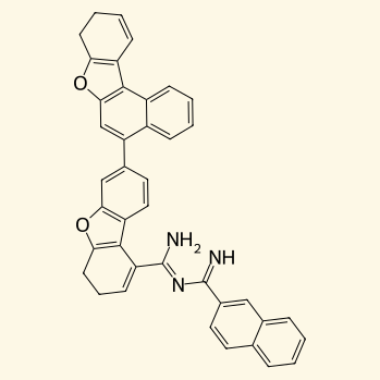 N=C(/N=C(\N)C1=CCCc2oc3cc(-c4cc5oc6c(c5c5ccccc45)C=CCC6)ccc3c21)c1ccc2ccccc2c1